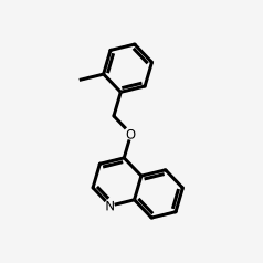 Cc1ccccc1COc1ccnc2ccccc12